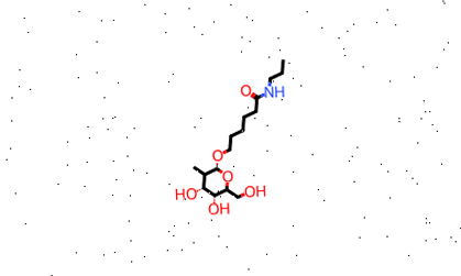 CCCNC(=O)CCCCCO[C@@H]1OC(CO)[C@H](O)[C@H](O)C1C